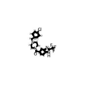 O=C(c1ccc2[nH]c(C(F)(F)F)nc2c1)N1CCN(Cc2ccc(Cl)cc2)CC1